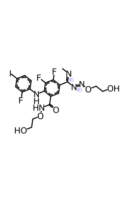 C/N=C(/N=N/OCCO)c1cc(C(=O)NOCCO)c(Nc2ccc(I)cc2F)c(F)c1F